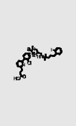 CN(C[C@H](O)CNC(C)(C)CCCc1ccccc1F)S(=O)(=O)c1ccc(-c2cccc(CCC(=O)O)n2)c(Cl)c1